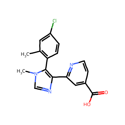 Cc1cc(Cl)ccc1-c1c(-c2cc(C(=O)O)ccn2)ncn1C